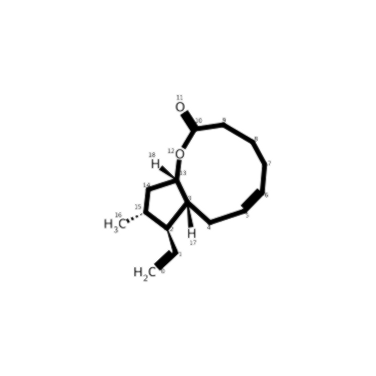 C=C[C@@H]1[C@H]2C/C=C\CCCC(=O)O[C@H]2C[C@H]1C